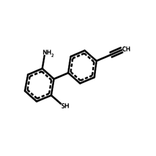 C#Cc1ccc(-c2c(N)cccc2S)cc1